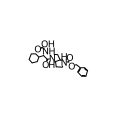 O=C(O)N[C@H](C(=O)N1CC[C@@H]2[C@H]1CCN2C(=O)OCc1ccccc1)C1CCCCC1